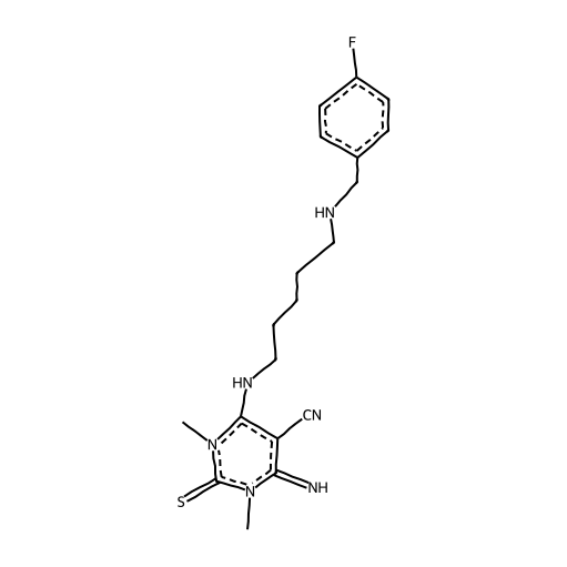 Cn1c(NCCCCCNCc2ccc(F)cc2)c(C#N)c(=N)n(C)c1=S